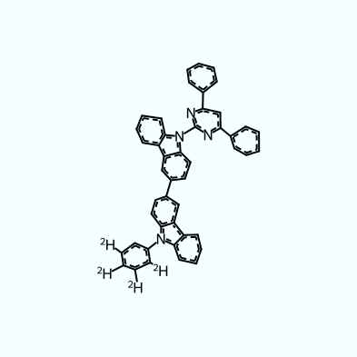 [2H]c1cc(-n2c3ccccc3c3cc(-c4ccc5c(c4)c4ccccc4n5-c4nc(-c5ccccc5)cc(-c5ccccc5)n4)ccc32)c([2H])c([2H])c1[2H]